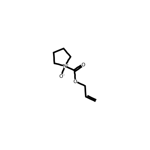 C=CCOC(=O)[N+]1([O-])CCCC1